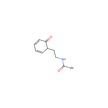 CC(C)C(=O)NCCC1C=CC=CC1=O